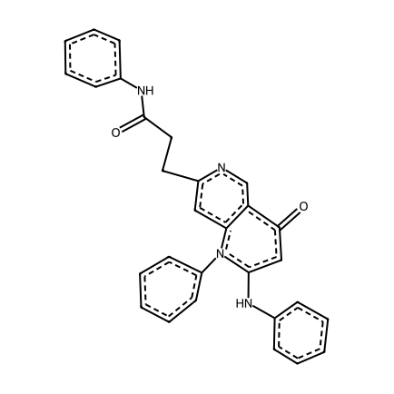 O=C(CCc1cc2c(cn1)c(=O)cc(Nc1ccccc1)n2-c1ccccc1)Nc1ccccc1